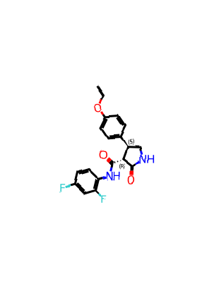 CCOc1ccc([C@H]2CNC(=O)[C@@H]2C(=O)Nc2ccc(F)cc2F)cc1